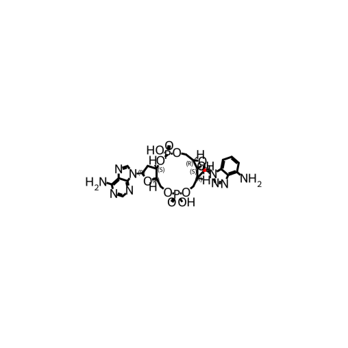 Nc1ncnc2c1ncn2[C@H]1C[C@@H]2OP(=O)(O)OC[C@H]3O[C@@H](n4nnc5c(N)cccc54)[C@H](COP(=O)(O)OC[C@H]2O1)[C@@H]3O